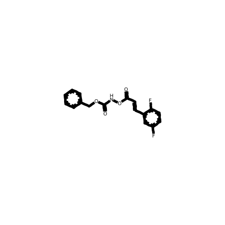 O=C(C=Cc1cc(F)ccc1F)ONC(=O)OCc1ccccc1